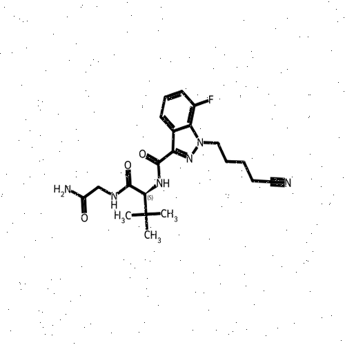 CC(C)(C)[C@H](NC(=O)c1nn(CCCCC#N)c2c(F)cccc12)C(=O)NCC(N)=O